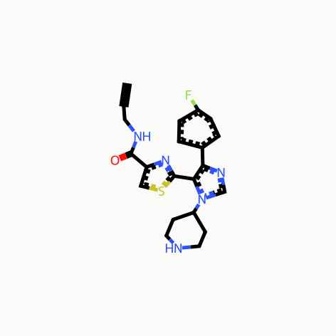 C#CCNC(=O)c1csc(-c2c(-c3ccc(F)cc3)ncn2C2CCNCC2)n1